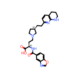 O=C(N[C@H](CCN1CC[C@@H](CCc2ccc3c(n2)NCCC3)C1)C(=O)O)c1ccc2ocnc2c1